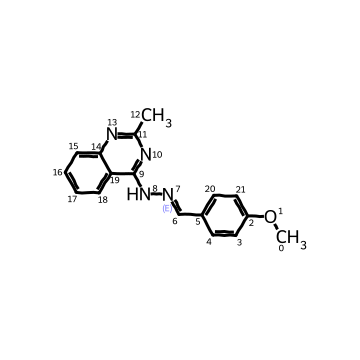 COc1ccc(/C=N/Nc2nc(C)nc3ccccc23)cc1